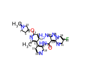 Cc1nc(O[C@@H]2CCN(C)C2)ccc1-c1ccncc1NC(=O)c1c(N)nn2cc(F)cnc12